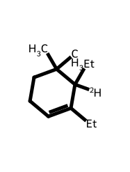 [2H]C1(CC)C(CC)=CCCC1(C)C